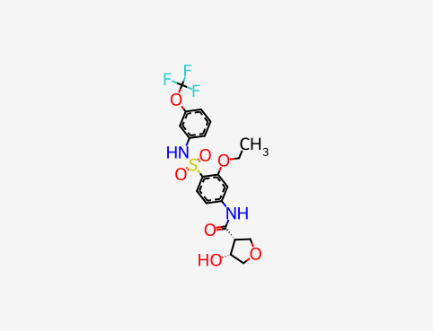 CCOc1cc(NC(=O)[C@@H]2COC[C@@H]2O)ccc1S(=O)(=O)Nc1cccc(OC(F)(F)F)c1